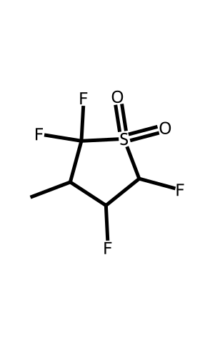 CC1C(F)C(F)S(=O)(=O)C1(F)F